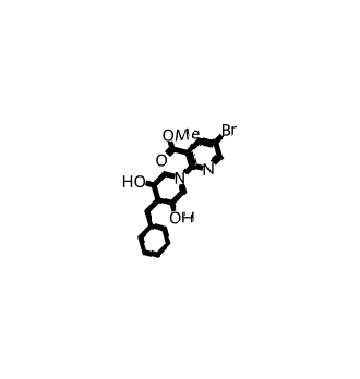 COC(=O)c1cc(Br)cnc1N1CC(O)C(CC2CCCCC2)C(O)C1